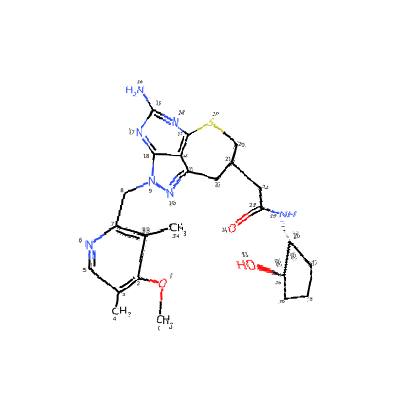 COc1c(C)cnc(Cn2nc3c4c(nc(N)nc42)SCC(CC(=O)N[C@@H]2CCC[C@H]2O)C3)c1C